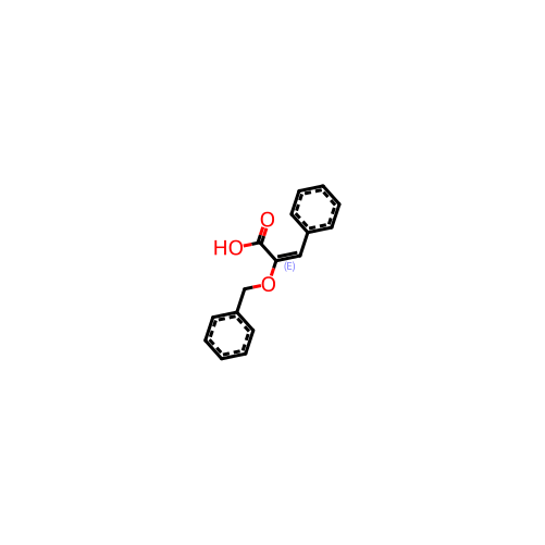 O=C(O)/C(=C\c1ccccc1)OCc1ccccc1